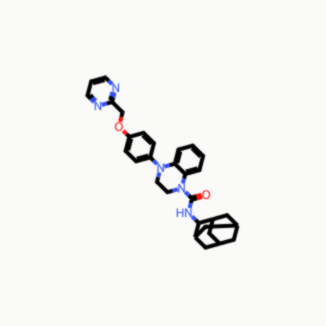 O=C(NC1C2CC3CC(C2)CC1C3)N1CCN(c2ccc(OCc3ncccn3)cc2)c2ccccc21